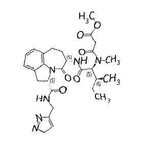 CC[C@H](C)[C@@H](C(=O)N[C@H]1CCc2cccc3c2N(C1=O)[C@H](C(=O)NCC1=CCN=N1)C3)N(C)C(=O)CC(=O)OC